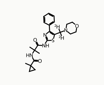 [2H]C([2H])(c1sc(NC(=O)C(C)(C)NC(=O)C2(C)CC2)nc1-c1ccccc1)N1CCOCC1